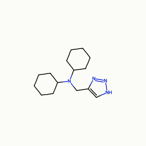 c1[nH]nnc1CN(C1CCCCC1)C1CCCCC1